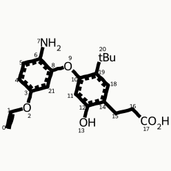 C=COc1ccc(N)c(Oc2cc(O)c(CCC(=O)O)cc2C(C)(C)C)c1